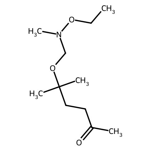 CCON(C)COC(C)(C)CCC(C)=O